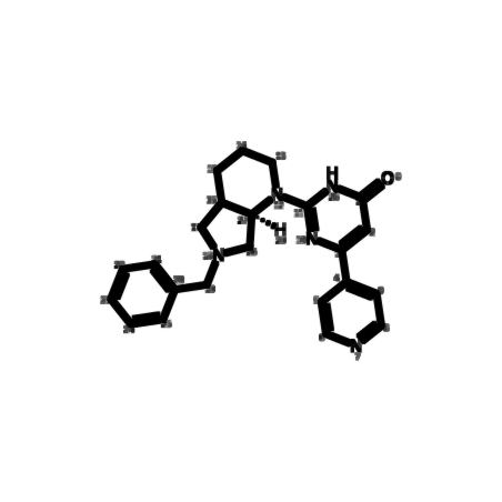 O=c1cc(-c2ccncc2)nc(N2CCCC3CN(Cc4ccccc4)C[C@@H]32)[nH]1